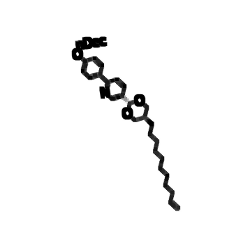 C=CCCCCCCCCC[C@H]1CO[C@H](c2ccc(-c3ccc(OCCCCCCCCCC)cc3)nc2)OC1